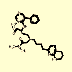 CC(=O)[C@H](CCN(CCCCc1ccc2c(n1)NCCC2)CC(=O)N(C)C)Nc1c(-c2ccccc2)cnc[n+]1O